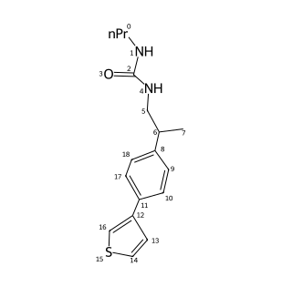 CCCNC(=O)NCC(C)c1ccc(-c2ccsc2)cc1